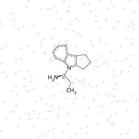 C[CH][C@@H](N)n1c2c(c3ccccc31)CCC2